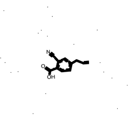 C=CCc1ccc(C(=O)O)c(C#N)c1